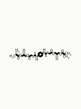 C=C(C)C(=O)OCC(O)COC(=O)CSC(=S)Nc1ccc(NC(=S)SCC(=O)OCC(O)COC(=O)C(=C)C)cc1